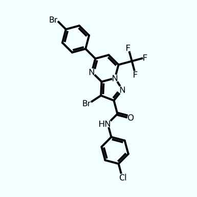 O=C(Nc1ccc(Cl)cc1)c1nn2c(C(F)(F)F)cc(-c3ccc(Br)cc3)nc2c1Br